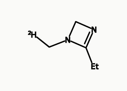 [2H]CN1CN=C1CC